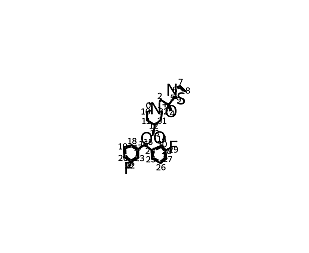 C[N+]1(CC(=O)c2nccs2)CCC(C(=O)OC(c2cccc(F)c2)c2cccc(F)c2)CC1